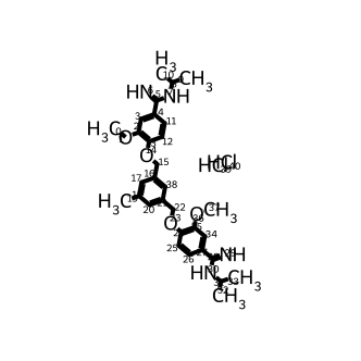 COc1cc(C(=N)NC(C)C)ccc1OCc1cc(C)cc(COc2ccc(C(=N)NC(C)C)cc2OC)c1.Cl.Cl